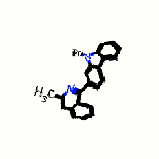 Cc1cc2ccccc2c(-c2ccc3c4ccccc4n(C(C)C)c3c2)n1